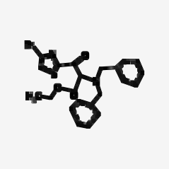 CCOC(=O)C(C(=O)c1nc(Br)cs1)N(Cc1ccccc1)Cc1ccccc1